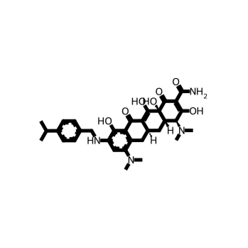 CC(C)c1ccc(CNc2cc(N(C)C)c3c(c2O)C(=O)C2=C(O)[C@]4(O)C(=O)C(C(N)=O)=C(O)[C@@H](N(C)C)[C@@H]4C[C@H]2C3)cc1